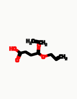 C=C.C=CCOC(=O)CCC(=O)O